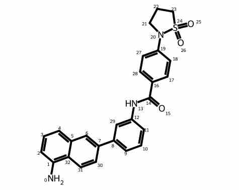 Nc1cccc2cc(-c3cccc(NC(=O)c4ccc(N5CCCS5(=O)=O)cc4)c3)ccc12